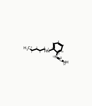 CCCCCNc1ccccc1N=C=N